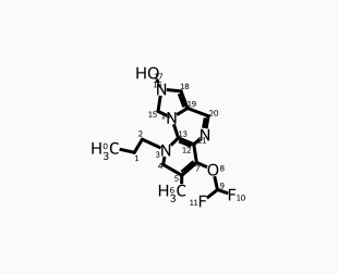 CCCN1CC(C)=C(OC(F)F)C2=C1N1CN(O)C=C1C=N2